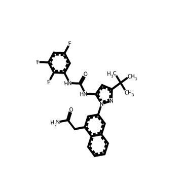 CC(C)(C)c1cc(NC(=O)Nc2cc(F)cc(F)c2F)n(-c2cc(CC(N)=O)c3ccccc3c2)n1